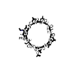 C=C(C)OC(C)(C)C[C@H]1C(=O)N[C@H](C(C)C)C(=O)N(C)[C@H](CC(C)C)C(=O)N[C@H](C)C(=O)N[C@@H](C)C(=O)N(C)[C@H](CC(C)C)C(=O)N(C)[C@H](CC(C)C)C(=O)N(C)[C@H](C(C)C)C(=O)N(C)C([C@H](O)[C@H](C)C/C=C/C)C(=O)N[C@H](CC)C(=O)N(C)CC(=O)N1C